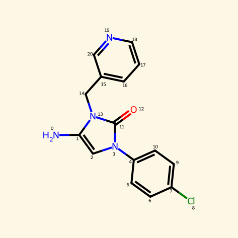 Nc1cn(-c2ccc(Cl)cc2)c(=O)n1Cc1cccnc1